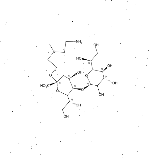 CN(CCN)CCO[C@]1(C(=O)O)C[C@@H](O)[C@@H](O[C@H]2OC([C@@H](O)CO)[C@@H](O)[C@H](O)C2O)C([C@H](O)CO)O1